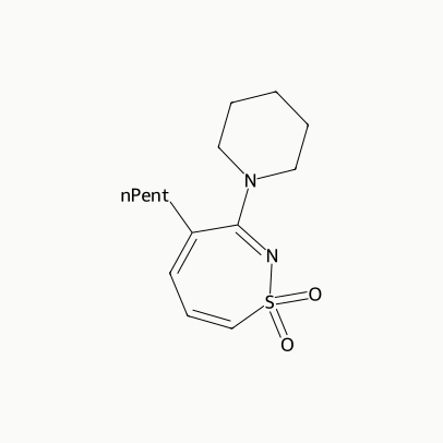 CCCCCC1=CC=CS(=O)(=O)N=C1N1CCCCC1